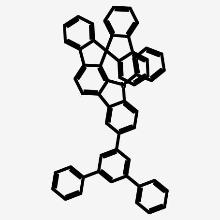 c1ccc(-c2cc(-c3ccccc3)cc(-c3ccc4c(c3)c3ccc5c(c3n4-c3ccccc3)C3(c4ccccc4-c4ccccc43)c3ccccc3-5)c2)cc1